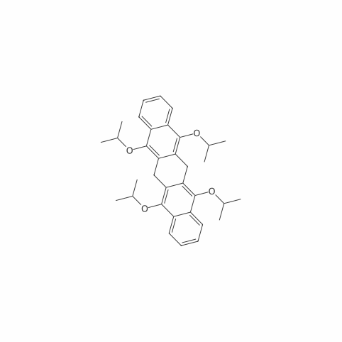 CC(C)Oc1c2c(c(OC(C)C)c3ccccc13)Cc1c(c(OC(C)C)c3ccccc3c1OC(C)C)C2